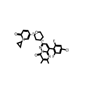 Cc1nc2c(-c3c(F)cc(Cl)cc3F)cc([C@H]3CCO[C@@H](c4ccc(=O)n(C5CC5)c4)C3)nn2c(=O)c1C